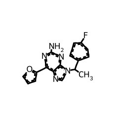 CC(c1ccc(F)cc1)n1cnc2c(-c3ccco3)nc(N)nc21